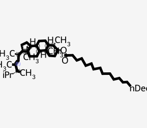 CCCCCCCCCCCCCCCCCCCCCCCC(=O)O[C@H]1CC[C@@]2(C)[C@@H](CC[C@@H]3[C@@H]2CC[C@]2(C)[C@@H]([C@H](C)/C=C(\C)[C@H](C)C(C)C)CC[C@@H]32)[C@@H]1C